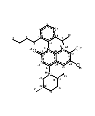 CCCCc1ccnc(C(C)C)c1-n1c(=O)nc(N2C[C@@H](C)CC[C@@H]2C)c2cc(Cl)c(Cl)nc21